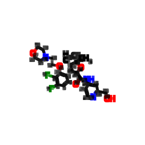 C[C@H]1[C@@H](c2ccc(F)c(F)c2OCCN2CCOCC2)[C@H](C(=O)Nc2ccnc(CO)c2)O[C@@]1(C)C(F)(F)F